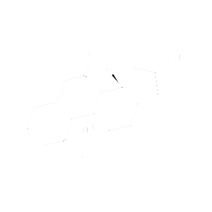 CC1C[C@H]2[C@@H]3C(=O)C=C4CCCC(=O)[C@]4(C)[C@@H]3CC[C@]2(C)C1